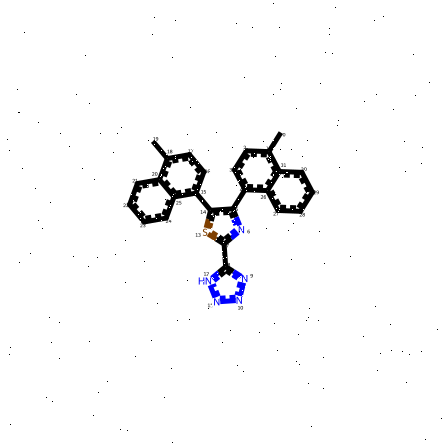 Cc1ccc(-c2nc(-c3nnn[nH]3)sc2-c2ccc(C)c3ccccc23)c2ccccc12